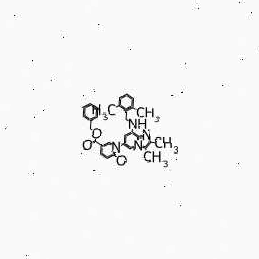 Cc1cccc(C)c1CNc1cc(-n2cc(C(=O)OCc3ccccc3)ccc2=O)cn2c(C)c(C)nc12